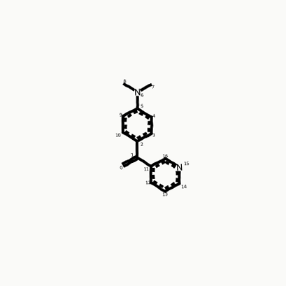 C=C(c1ccc(N(C)C)cc1)c1cccnc1